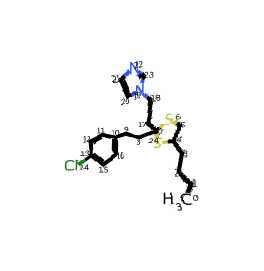 CCCCC1CSC(CCc2ccc(Cl)cc2)(CCn2ccnc2)S1